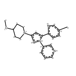 COC1CCN(c2cc(-c3ccc(C)cn3)n(-c3cccnc3)n2)CC1